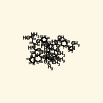 Cc1ncsc1-c1ccc([C@H](C)NC(=O)[C@@H]2C[C@@H](O)CN2C(=O)[C@@H](NC(=O)CCCc2cccc(OC[C@H](CCC(N)O)NC(=O)[C@@H]3Cc4cccc5c4N3C(=O)[C@@H](NC(=O)OC(C)(C)C)CC5)c2F)C(C)(C)C)cc1